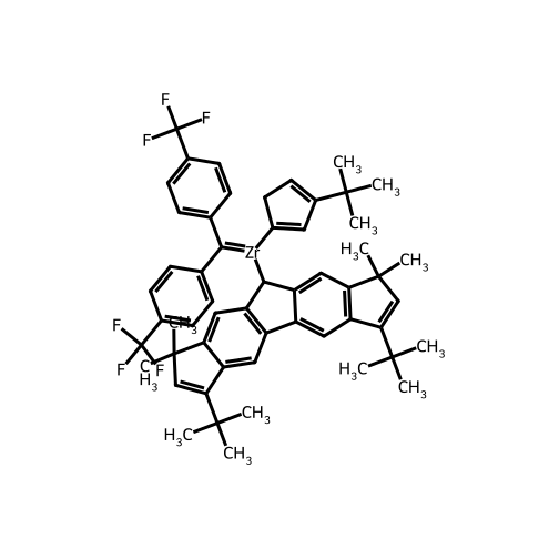 CC(C)(C)C1=CC[C]([Zr](=[C](c2ccc(C(F)(F)F)cc2)c2ccc(C(F)(F)F)cc2)[CH]2c3cc4c(cc3-c3cc5c(cc32)C(C)(C)C=C5C(C)(C)C)C(C(C)(C)C)=CC4(C)C)=C1